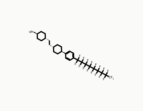 CCC[C@H]1CC[C@H](CC[C@H]2CC[C@H](c3ccc(C(F)(F)C(F)(F)C(F)(F)C(F)(F)C(F)(F)C(F)(F)C(F)(F)C(F)(F)C(F)(F)F)cc3)CC2)CC1